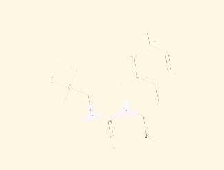 CN(CC1(C)COC1)C(=O)N[C@H](Cc1ccc(Cl)cc1Cl)C(=O)O